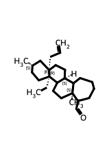 C=CC[C@]12CC[C@H]3C4CCCCC(C=O)[C@@]4(C)CCC3[C@@]1(CC)CC[C@H](C)C2